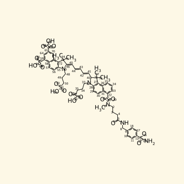 CN(CCCC(=O)NCc1ccc(S(N)(=O)=O)cc1)S(=O)(=O)c1cccc2c3c(ccc12)N(CCCS(=O)(=O)O)C(/C=C/C=CC=C1N(CCCS(=O)(=O)O)c2ccc4c(S(=O)(=O)O)cc(S(=O)(=O)O)cc4c2C1(C)C)C3(C)C